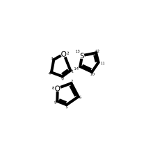 C1=COCC1.c1ccoc1.c1ccsc1